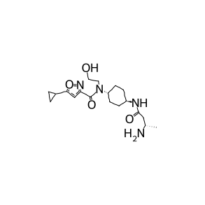 C[C@H](N)CC(=O)N[C@H]1CC[C@H](N(CCO)C(=O)c2cc(C3CC3)on2)CC1